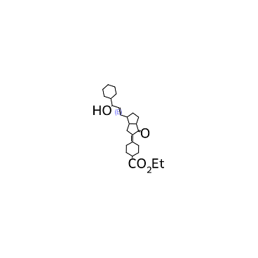 CCOC(=O)C1CCC(=C2CC3C(/C=C/C(O)C4CCCCC4)CCC3C2=O)CC1